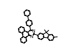 Cc1ccc2c(c1)C(C)(C)c1cc(-c3nc(-c4ccc(-c5ccccc5)cc4)c4c5ccccc5c5ccccc5c4n3)ccc1-2